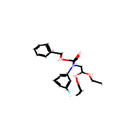 CCOC(CN(C(=O)OCc1ccccc1)c1cccc(F)c1)OCC